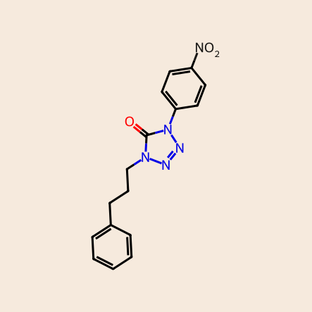 O=c1n(CCCc2ccccc2)nnn1-c1ccc([N+](=O)[O-])cc1